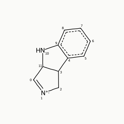 C1=[N+]CC2c3ccccc3NC12